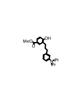 COC(=O)c1ccc(O)c(CCCc2cccc(N(C(C)C)C(C)C)c2)c1